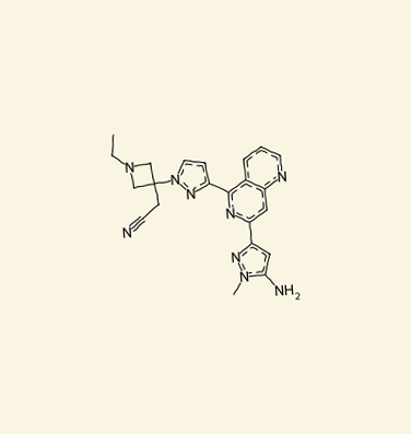 CCN1CC(CC#N)(n2ccc(-c3nc(-c4cc(N)n(C)n4)cc4ncccc34)n2)C1